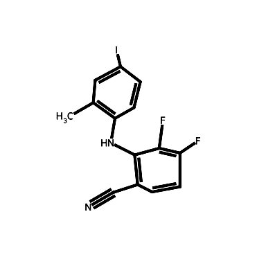 Cc1cc(I)ccc1Nc1c(C#N)ccc(F)c1F